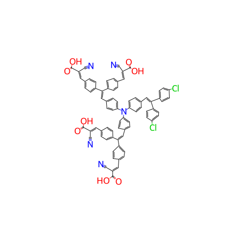 N#C/C(=C\c1ccc(C(=Cc2ccc(N(c3ccc(C=C(c4ccc(Cl)cc4)c4ccc(Cl)cc4)cc3)c3ccc(C=C(c4ccc(/C=C(\C#N)C(=O)O)cc4)c4ccc(/C=C(\C#N)C(=O)O)cc4)cc3)cc2)c2ccc(/C=C(\C#N)C(=O)O)cc2)cc1)C(=O)O